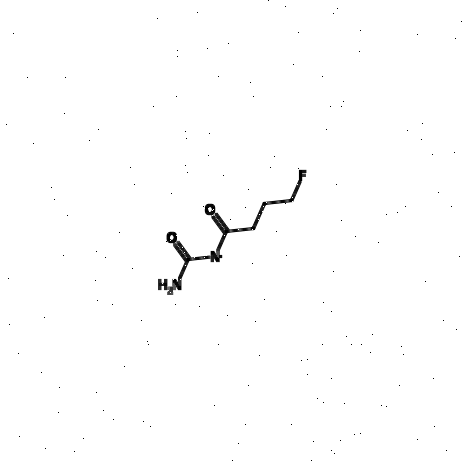 NC(=O)[N]C(=O)CCCF